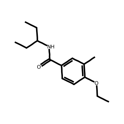 CCOc1ccc(C(=O)NC(CC)CC)cc1C